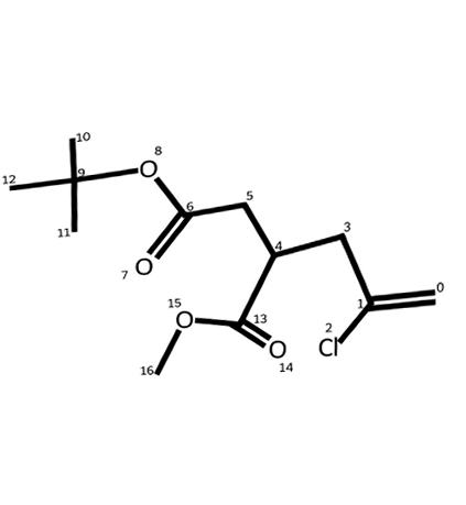 C=C(Cl)CC(CC(=O)OC(C)(C)C)C(=O)OC